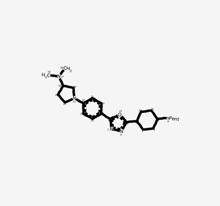 CCCCCC1CCC(c2nnc(-c3ccc(N4CCC(N(C)C)C4)cc3)o2)CC1